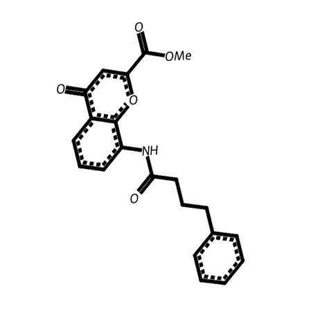 COC(=O)c1cc(=O)c2cccc(NC(=O)CCCc3ccccc3)c2o1